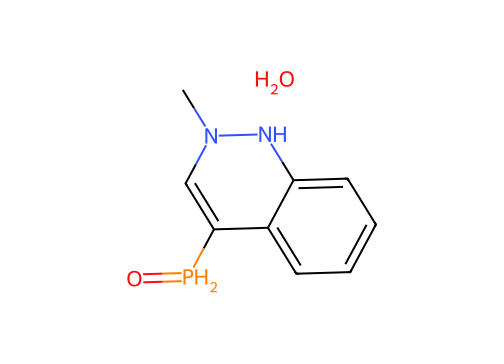 CN1C=C([PH2]=O)c2ccccc2N1.O